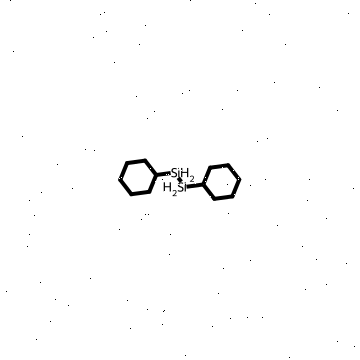 C1CCC([SiH2][SiH2]C2CCCCC2)CC1